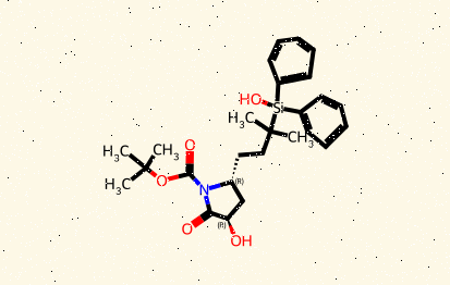 CC(C)(C)OC(=O)N1C(=O)[C@H](O)C[C@H]1CCC(C)(C)[Si](O)(c1ccccc1)c1ccccc1